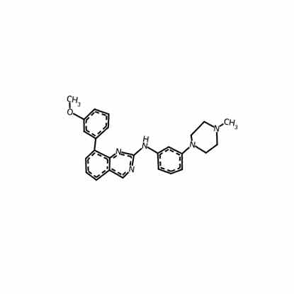 COc1cccc(-c2cccc3cnc(Nc4cccc(N5CCN(C)CC5)c4)nc23)c1